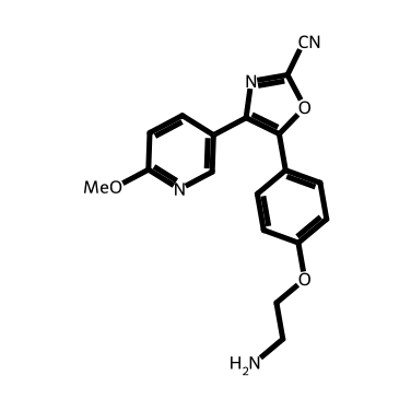 COc1ccc(-c2nc(C#N)oc2-c2ccc(OCCN)cc2)cn1